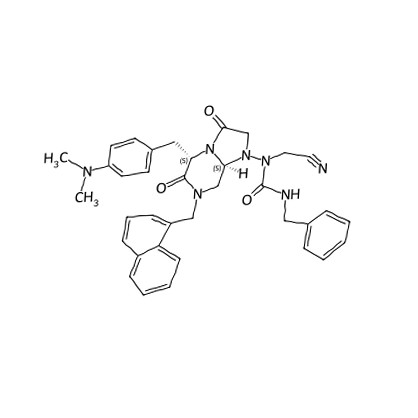 CN(C)c1ccc(C[C@H]2C(=O)N(Cc3cccc4ccccc34)C[C@H]3N2C(=O)CN3N(CC#N)C(=O)NCc2ccccc2)cc1